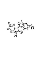 O=Cc1ccc2c(c1)COC2=C1C(=O)Nc2ccc(F)cc21